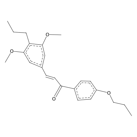 CCCOc1ccc(C(=O)/C=C/c2cc(OC)c(CCC)c(OC)c2)cc1